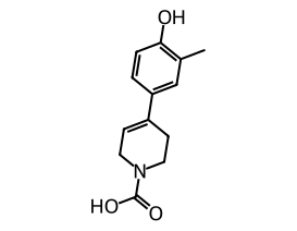 Cc1cc(C2=CCN(C(=O)O)CC2)ccc1O